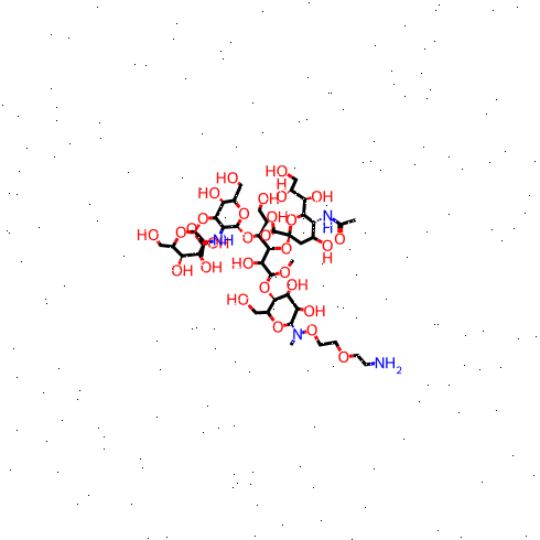 COC(O[C@@H]1C(CO)O[C@@H](N(C)OCCOCCN)C(O)C1O)C(O)C(O[C@]1(C(=O)O)CC(O)[C@@H](NC(C)=O)C([C@H](O)[C@H](O)CO)O1)[C@H](CCO)O[C@@H]1OC(CO)[C@H](O)C(O[C@@H]2OC(CO)[C@H](O)C(O)C2O)C1NC(C)=O